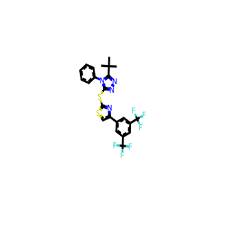 CC(C)(C)c1nnc(Sc2nc(-c3cc(C(F)(F)F)cc(C(F)(F)F)c3)cs2)n1-c1ccccc1